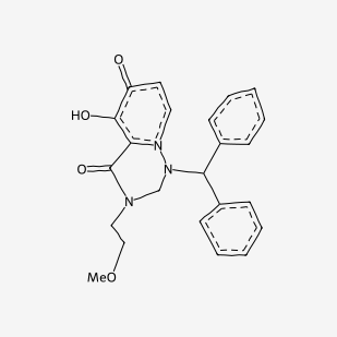 COCCN1CN(C(c2ccccc2)c2ccccc2)n2ccc(=O)c(O)c2C1=O